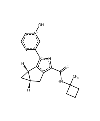 O=C(NC1(C(F)(F)F)CCC1)c1nn(-c2c[n+](O)ccn2)c2c1C[C@@H]1C[C@H]21